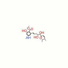 CC[C@H](C)/C=C\C(=O)[C@@H](O)[C@@H](O)C/C=C/c1cc(NC)cc(O)c1C(=O)OC